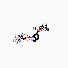 CC(C)(C)[Si](C)(C)OCc1ccc2ccn(COCC[Si](C)(C)C)c2c1